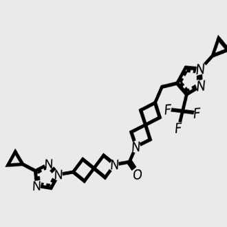 O=C(N1CC2(CC(Cc3cn(C4CC4)nc3C(F)(F)F)C2)C1)N1CC2(CC(n3cnc(C4CC4)n3)C2)C1